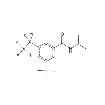 CC(C)NC(=O)c1cc(C(C)(C)C)cc(C2(C(F)(F)F)CC2)c1